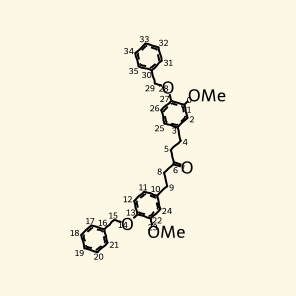 COc1cc(CCC(=O)CCc2ccc(OCc3ccccc3)c(OC)c2)ccc1OCc1ccccc1